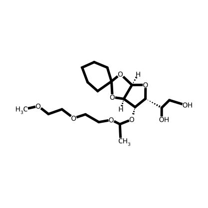 COCCOCCOC(C)O[C@@H]1[C@H]2OC3(CCCCC3)O[C@H]2O[C@@H]1C(O)CO